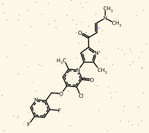 CC1=[N+]=C(C(=O)/C=C/N(C)C)C=C1n1c(C)cc(OCc2ncc(F)cc2F)c(Cl)c1=O